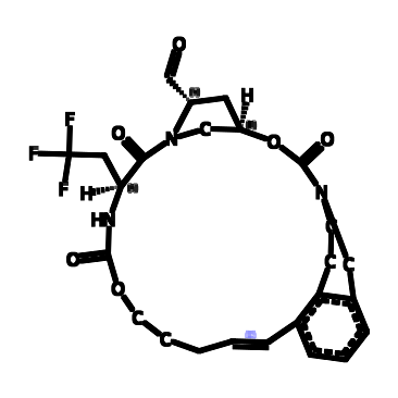 O=C[C@@H]1C[C@@H]2CN1C(=O)[C@H](CC(F)(F)F)NC(=O)OCCC/C=C/c1cccc3c1CCN(C3)C(=O)O2